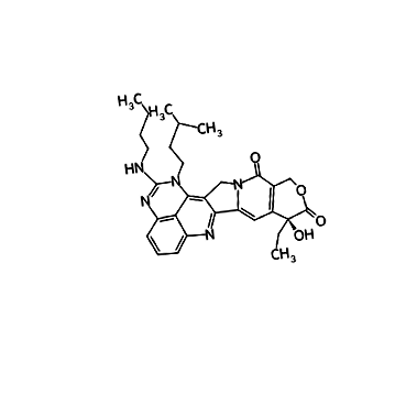 CCCCNC1=Nc2cccc3nc4c(c(c23)N1CCC(C)C)Cn1c-4cc2c(c1=O)COC(=O)[C@]2(O)CC